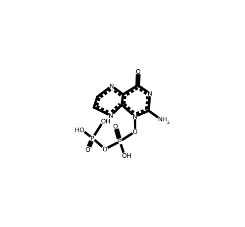 Nc1nc(=O)c2nccnc2n1OP(=O)(O)OP(=O)(O)O